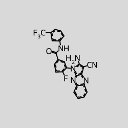 N#Cc1c(N)n(-c2cc(C(=O)Nc3cccc(C(F)(F)F)c3)ccc2F)c2nc3ccccc3nc12